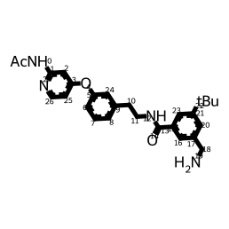 CC(=O)Nc1cc(Oc2cccc(CCNC(=O)c3cc(CN)cc(C(C)(C)C)c3)c2)ccn1